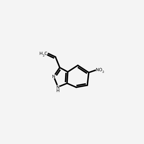 C=Cc1n[nH]c2ccc([N+](=O)[O-])cc12